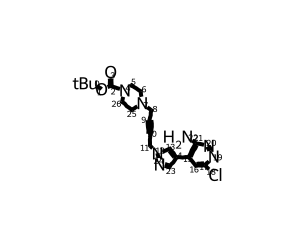 CC(C)(C)OC(=O)N1CCN(CC#CCn2cc(-c3cc(Cl)nnc3N)cn2)CC1